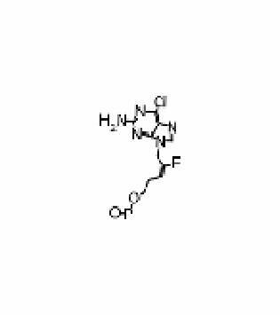 Nc1nc(Cl)c2ncn(C/C(F)=C\CCOP=O)c2n1